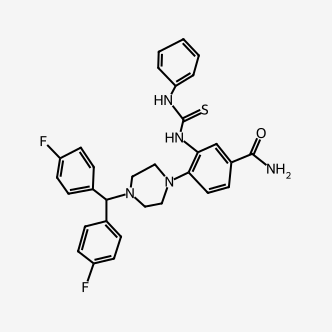 NC(=O)c1ccc(N2CCN(C(c3ccc(F)cc3)c3ccc(F)cc3)CC2)c(NC(=S)Nc2ccccc2)c1